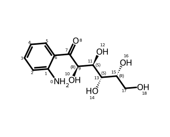 Nc1ccccc1C(=O)[C@H](O)[C@@H](O)[C@@H](O)[C@H](O)CO